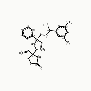 C=C[C@@]1(CN[C@](C=C)(COC(C)c2cc(C(F)(F)F)cc(C(F)(F)F)c2)c2ccccc2)CCC(=O)N1